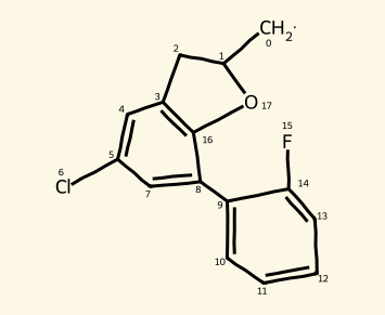 [CH2]C1Cc2cc(Cl)cc(-c3ccccc3F)c2O1